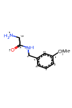 COc1cccc(CNC(=O)CN)c1